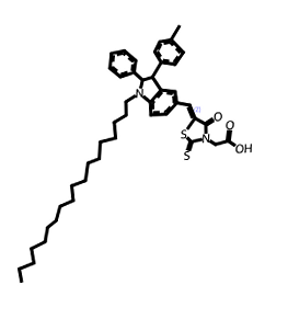 CCCCCCCCCCCCCCCCCCN1c2ccc(/C=C3\SC(=S)N(CC(=O)O)C3=O)cc2C(c2ccc(C)cc2)C1c1ccccc1